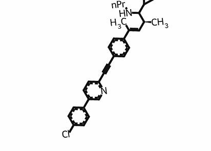 CCCNC(C1CC1)[C@@H](C)/C=C(\C)c1ccc(C#Cc2ccc(-c3ccc(Cl)cc3)cn2)cc1